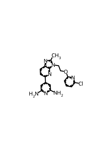 Cc1nc2ccc(-c3cc(N)nc(N)c3)nc2n1CCOc1cccc(Cl)n1